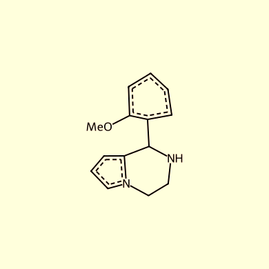 COc1ccccc1C1NCCn2cccc21